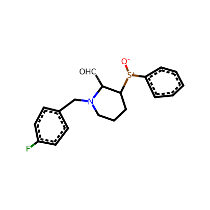 O=CC1C([S+]([O-])c2ccccc2)CCCN1Cc1ccc(F)cc1